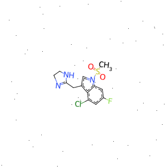 CS(=O)(=O)n1cc(CC2=NCCN2)c2c(Cl)cc(F)cc21